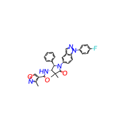 Cc1nocc1C(=O)N[C@@H]1[C@@H](c2ccccc2)N(c2ccc3c(cnn3-c3ccc(F)cc3)c2)C(=O)C1(C)C